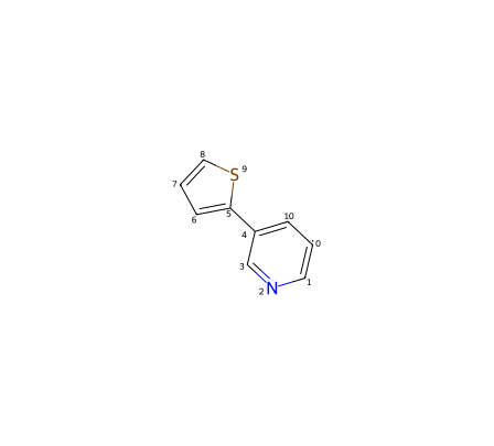 [c]1cncc(-c2cccs2)c1